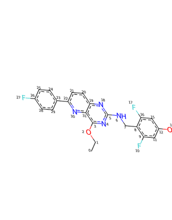 CCOc1nc(NCc2c(F)cc(OC)cc2F)nc2ccc(-c3ccc(F)cc3)nc12